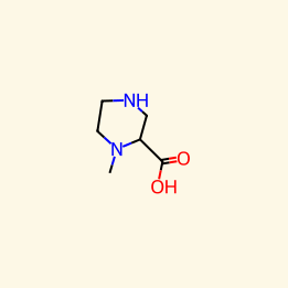 CN1CCNCC1C(=O)O